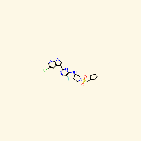 O=S(=O)(CC1CCCC1)N1CCC(Nc2nc(-c3c[nH]c4ncc(Cl)cc34)ncc2F)C1